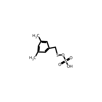 Cc1cc(C)cc(CSOS(=O)(=O)O)c1